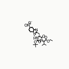 CCOC(=O)[C@@H](NC(=O)[C@H](Cc1nc2cc([N+](=O)[O-])ccc2n1C)NC(=O)OC(C)(C)C)C(C)C